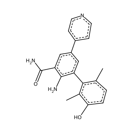 Cc1ccc(O)c(C)c1-c1cc(-c2ccncc2)cc(C(N)=O)c1N